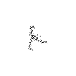 CCOCCO[Si](OCCOCC)(OCCOCC)C(C)(C)C